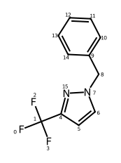 FC(F)(F)c1ccn(Cc2ccccc2)n1